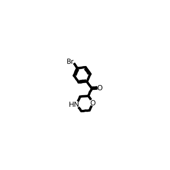 O=C(c1ccc(Br)cc1)C1CNCCO1